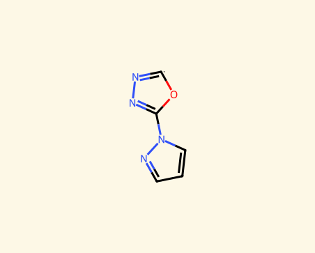 [c]1nnc(-n2cccn2)o1